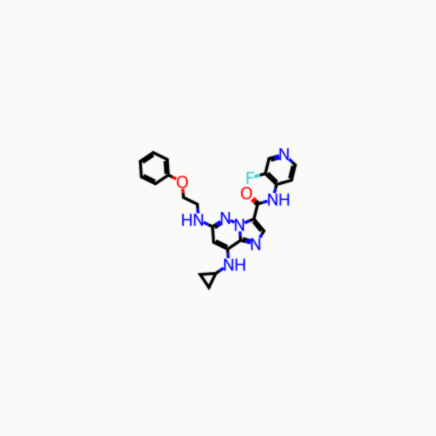 O=C(Nc1ccncc1F)c1cnc2c(NC3CC3)cc(NCCOc3ccccc3)nn12